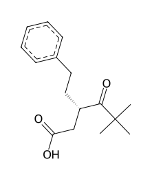 CC(C)(C)C(=O)[C@@H](CCc1ccccc1)CC(=O)O